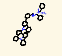 NC(NC(NCc1cccc(-c2ccc3c(c2)c2c(n3-c3ccccc3-c3cccc4c5ccccc5n(-c5ccccc5)c34)C=CCC2)c1)c1ccccc1)c1ccccc1